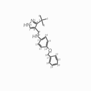 CC(C)(C)c1n[nH]cc1CNc1ccc(OCc2ccccc2)cc1